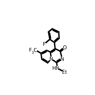 CCNc1nc(=O)c(-c2ccccc2F)c2cc(C(F)(F)F)ccn12